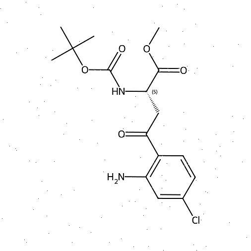 COC(=O)[C@H](CC(=O)c1ccc(Cl)cc1N)NC(=O)OC(C)(C)C